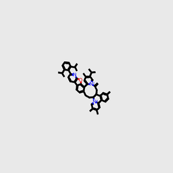 C=C1CC2c3cc(C)ccc3-c3cc(C)c(C)c[n+]3C2CCc2ccc3c(oc4nc(-c5c(C(C)C)cccc5C(C)C)ccc43)c2-c2cc(C)c(C(C)C)c[n+]21